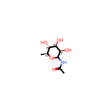 CC(=O)NC1O[C@@H](C)[C@H](O)[C@@H](O)[C@H]1O